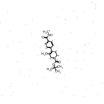 CNC(=O)c1ccc(C2=C(C)CN(C(=O)OC(C)(C)C)CC2)cn1